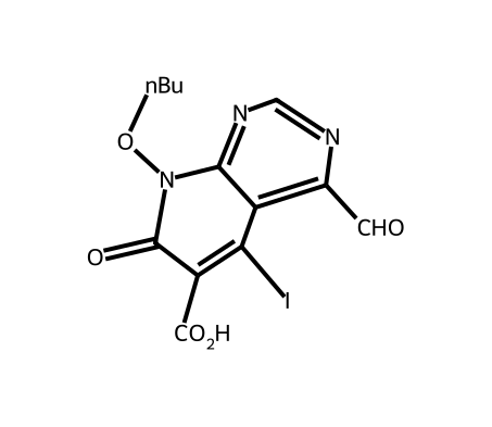 CCCCOn1c(=O)c(C(=O)O)c(I)c2c(C=O)ncnc21